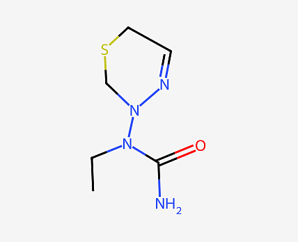 CCN(C(N)=O)N1CSCC=N1